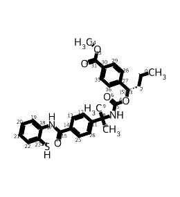 CCC[C@H](OC(=O)NC(C)(C)c1ccc(C(=O)Nc2ccccc2S)cc1)c1ccc(C(=O)OC)cc1